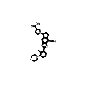 Cc1c(-c2nc3cc4c(c(C#N)c3o2)CCC4N2CCC(C(=O)O)C2)cccc1N1CCOCC1